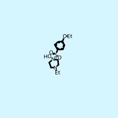 CCOc1ccc(S(=O)(=O)[N+]2(O)CCN(CC)CC2)cc1